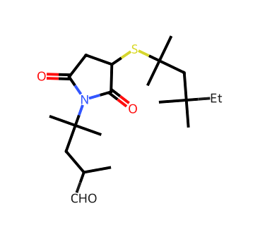 CCC(C)(C)CC(C)(C)SC1CC(=O)N(C(C)(C)CC(C)C=O)C1=O